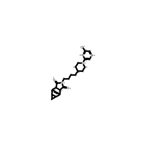 O=C1C2C3C=CC(C4CC34)C2C(=O)N1CCCCC1CCN(c2cncc(Cl)n2)CC1